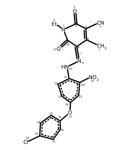 CCN1C(=O)C(C#N)=C(C)/C(=N/Nc2ccc(Oc3ccc(Cl)cc3)cc2[N+](=O)[O-])C1=O